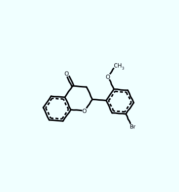 COc1ccc(Br)cc1C1CC(=O)c2ccccc2O1